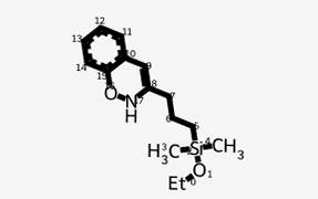 CCO[Si](C)(C)CCCC1=Cc2ccccc2ON1